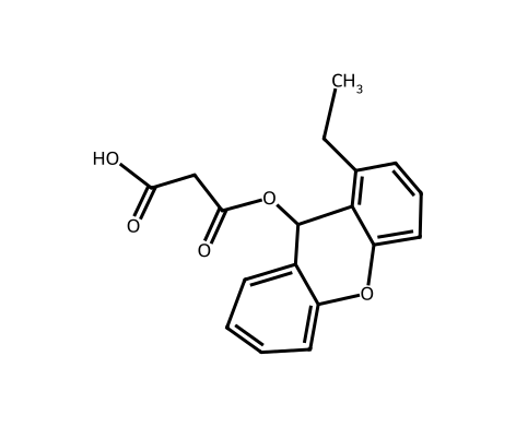 CCc1cccc2c1C(OC(=O)CC(=O)O)c1ccccc1O2